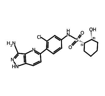 Nc1n[nH]c2ccc(-c3ccc(NS(=O)(=O)[C@H]4CCCC[C@H]4O)cc3Cl)nc12